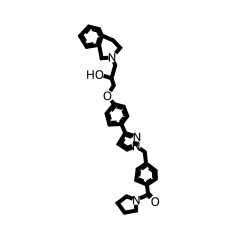 O=C(c1ccc(Cn2ccc(-c3ccc(OCC(O)CN4CCc5ccccc5C4)cc3)n2)cc1)N1CCCC1